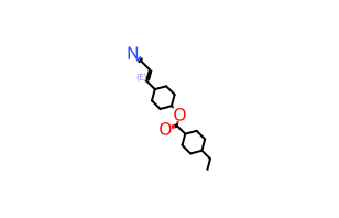 CCC1CCC(C(=O)OC2CCC(/C=C/C#N)CC2)CC1